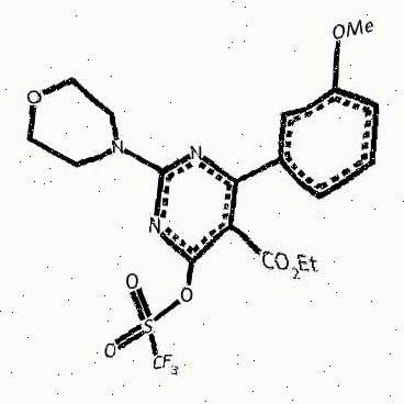 CCOC(=O)c1c(OS(=O)(=O)C(F)(F)F)nc(N2CCOCC2)nc1-c1cccc(OC)c1